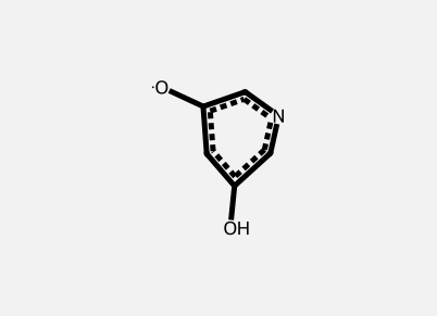 [O]c1cncc(O)c1